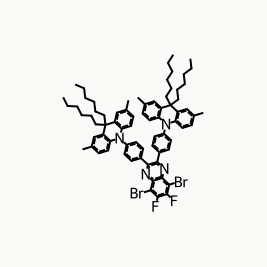 CCCCCCC1(CCCCCC)c2cc(C)ccc2N(c2ccc(-c3nc4c(Br)c(F)c(F)c(Br)c4nc3-c3ccc(N4c5ccc(C)cc5C(CCCCCC)(CCCCCC)c5cc(C)ccc54)cc3)cc2)c2ccc(C)cc21